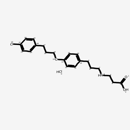 Cl.O=C(O)CCNCCCc1ccc(OCCCc2ccc(Cl)cc2)cc1